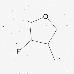 CC1COCC1F